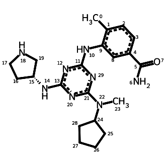 Cc1ccc(C(N)=O)cc1Nc1nc(N[C@@H]2CCNC2)nc(N(C)C2CCCC2)n1